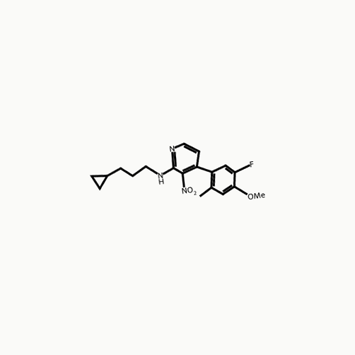 COc1cc(C)c(-c2ccnc(NCCCC3CC3)c2[N+](=O)[O-])cc1F